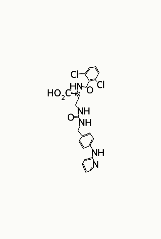 O=C(NCC[C@H](NC(=O)c1c(Cl)cccc1Cl)C(=O)O)NCc1ccc(Nc2ccccn2)cc1